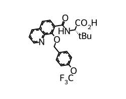 CC(C)(C)[C@H](NC(=O)c1ccc2cccnc2c1OCc1ccc(OC(F)(F)F)cc1)C(=O)O